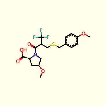 COc1ccc(CSCC(C(=O)N2C[C@@H](OC)C[C@H]2C(=O)O)C(F)(F)F)cc1